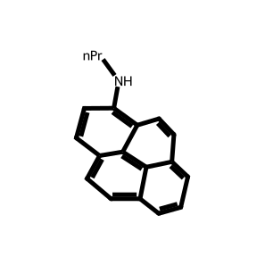 CCCNc1ccc2ccc3cccc4ccc1c2c34